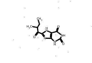 CCC(C)C(=O)c1nc2[nH]c(=O)[nH]c(=O)c2[nH]1